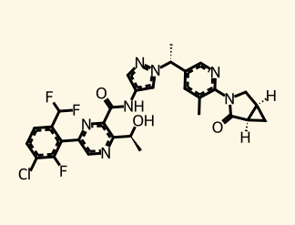 Cc1cc([C@@H](C)n2cc(NC(=O)c3nc(-c4c(C(F)F)ccc(Cl)c4F)cnc3[C@H](C)O)cn2)cnc1N1C[C@H]2C[C@H]2C1=O